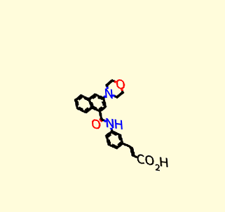 O=C(O)/C=C/c1cccc(NC(=O)c2cc(N3CCOCC3)cc3ccccc23)c1